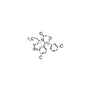 CC(C)(C)SC[C@@H](CC(F)(F)F)N1C(=O)CO[C@H](c2cccc(Cl)c2)[C@H]1c1ccc(Cl)cc1